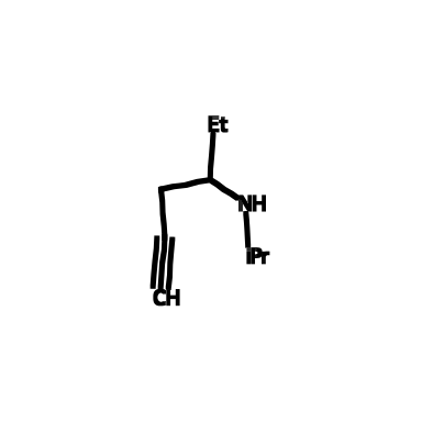 C#CCC(CC)NC(C)C